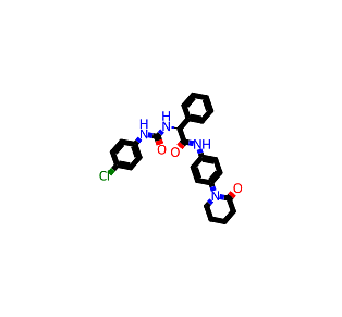 O=C(Nc1ccc(Cl)cc1)N[C@@H](C(=O)Nc1ccc(N2CCCCC2=O)cc1)c1ccccc1